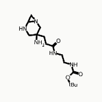 CC(C)(C)OC(=O)NCCNC(=O)CCC1(N)CNC2CN2C1